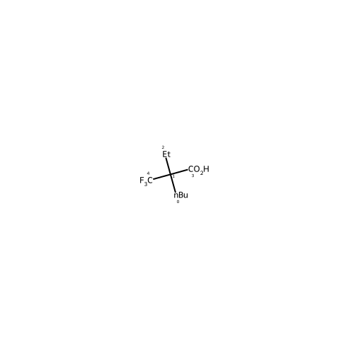 CCCCC(CC)(C(=O)O)C(F)(F)F